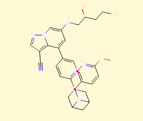 CCC[C@H](O)CNc1cc(-c2ccc(N3CC4CC(C3)N4Cc3ccc(OC)nc3)nc2)c2c(C#N)cnn2c1